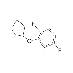 Fc1[c]c(OC2CCCC2)c(F)cc1